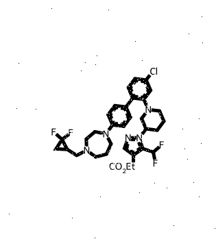 CCOC(=O)c1cnn(C2CCCN(c3cc(Cl)ccc3-c3ccc(N4CCCN(CC5CC5(F)F)CC4)cc3)C2)c1C(F)F